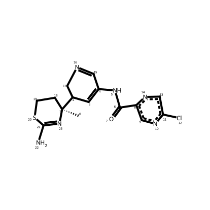 C[C@@]1(C2C=C(NC(=O)c3cnc(Cl)cn3)C=NC2)CCSC(N)=N1